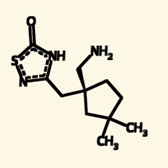 CC1(C)CC[C@@](CN)(Cc2nsc(=O)[nH]2)C1